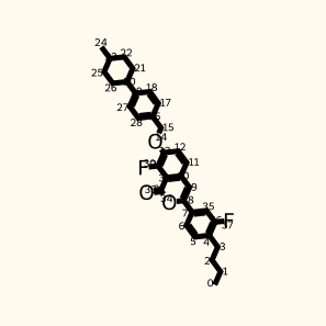 CCCCc1ccc(-c2cc3ccc(OCc4ccc(C5CCC(C)CC5)cc4)c(F)c3c(=O)o2)cc1F